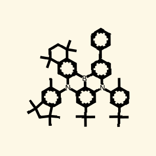 Cc1ccc(C(C)(C)C)cc1N1c2ccc(-c3ccccc3)cc2B2c3cc4c(cc3N(c3cc5c(cc3C)C(C)(C)CC5(C)C)c3cc(C(C)(C)C)cc1c32)C(C)(C)CCC4(C)C